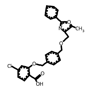 Cc1oc(-c2ccccc2)nc1COCc1ccc(COc2cc(Cl)ccc2C(=O)O)cc1